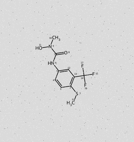 CSc1ccc(NC(=O)N(C)O)cc1C(F)(F)F